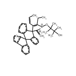 C=C(C)C1(C(/C=C\C)=C(\BOC(C)(C)C(C)(C)O)CC)c2ccccc2C2(c3ccccc3-c3ccccc32)c2ccccc21